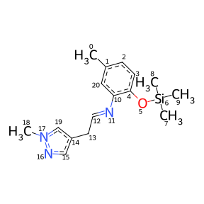 Cc1ccc(O[Si](C)(C)C)c(N=CCc2cnn(C)c2)c1